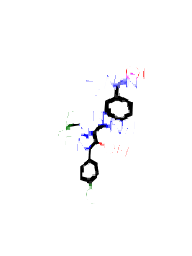 N/C(=N\O)c1ccc2[nH]c(-c3c(O)c(-c4ccc(Cl)cc4)nn3CC(F)(F)F)nc2c1